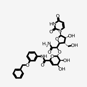 NC(=O)[C@H](O[C@H]1OC(C(=O)Nc2cccc(OCc3ccccc3)c2)=C[C@H](O)[C@@H]1O)[C@H]1O[C@@H](n2ccc(=O)[nH]c2=O)[C@H](O)[C@@H]1CO